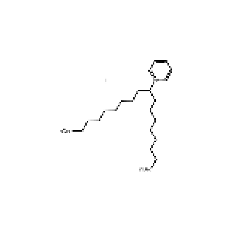 CCCCCCCCCCCCCCCCCCC(CCCCCCCCCCCCCCCCC)[n+]1ccccc1.[Cl-]